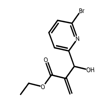 C=C(C(=O)OCC)C(O)c1cccc(Br)n1